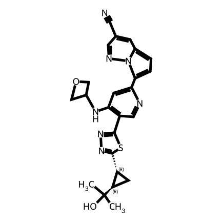 CC(C)(O)[C@@H]1C[C@H]1c1nnc(-c2cnc(-c3ccc4cc(C#N)cnn34)cc2NC2COC2)s1